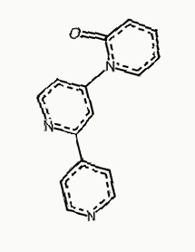 O=c1ccccn1-c1ccnc(-c2ccncc2)c1